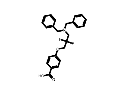 O=C(O)c1ccc(OCC(F)(F)CN(Cc2ccccc2)Cc2ccccc2)cc1